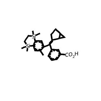 Cc1cc2c(cc1C(=C1CCC3CC13)c1cccc(C(=O)O)c1)[Si](C)(C)CC[Si]2(C)C